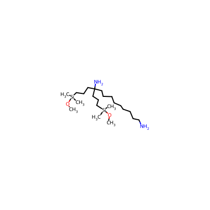 CO[Si](C)(C)CCCC(N)(CCCCCCCCCN)CCC[Si](C)(C)OC